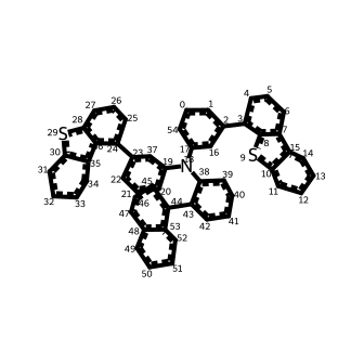 c1cc(-c2cccc3c2sc2ccccc23)cc(N(c2cccc(-c3cccc4sc5ccccc5c34)c2)c2ccccc2-c2cccc3ccccc23)c1